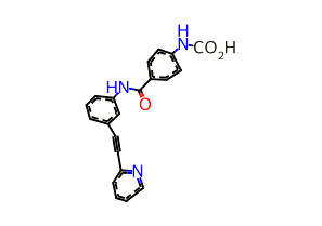 O=C(O)Nc1ccc(C(=O)Nc2cccc(C#Cc3ccccn3)c2)cc1